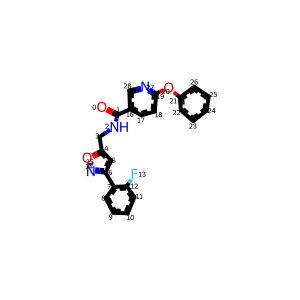 O=C(NCc1cc(-c2ccccc2F)no1)c1ccc(Oc2ccccc2)nc1